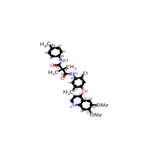 CCc1cc(Oc2ccnc3cc(OC)c(OC)cc23)c(C)cc1NC(=O)C(C)(C)C(=O)Nc1ccc(C)cc1